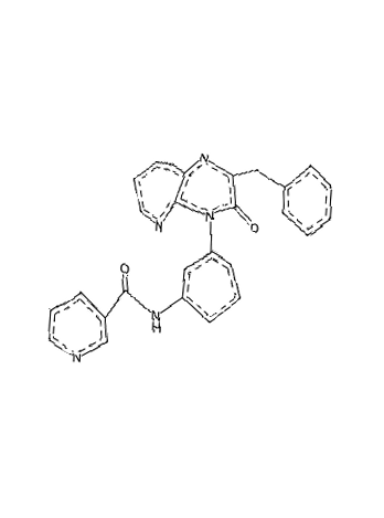 O=C(Nc1cccc(-n2c(=O)c(Cc3ccccc3)nc3cccnc32)c1)c1cccnc1